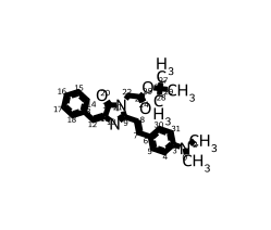 CN(C)c1ccc(C=CC2=NC(=Cc3ccccc3)C(=O)N2CC(=O)OC(C)(C)C)cc1